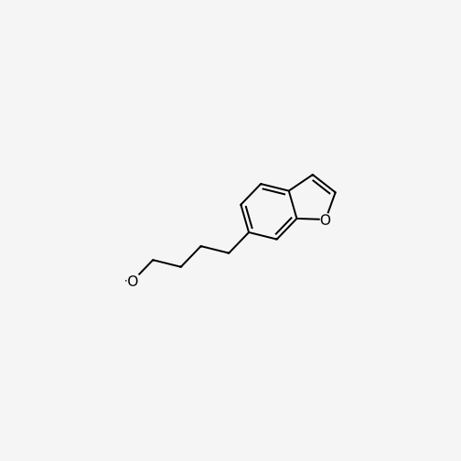 [O]CCCCc1ccc2ccoc2c1